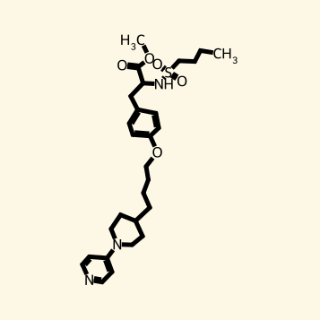 CCCCS(=O)(=O)NC(Cc1ccc(OCCCCC2CCN(c3ccncc3)CC2)cc1)C(=O)OC